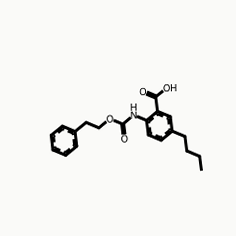 CCCCc1ccc(NC(=O)OCCc2ccccc2)c(C(=O)O)c1